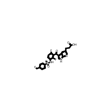 O=C(O)CCc1cnc2[nH]cc(C(=O)c3c(F)ccc(NS(=O)(=O)c4ccc(CF)cc4)c3F)c2c1